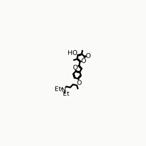 CCN(CC)CCCC(C)Oc1ccc2oc(-c3oc(=O)c(C)c(O)c3C)cc2c1